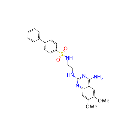 COc1cc2nc(NCCNS(=O)(=O)c3ccc(-c4ccccc4)cc3)nc(N)c2cc1OC